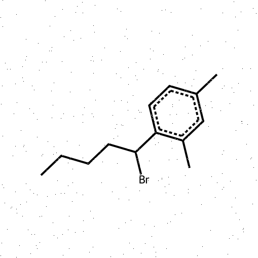 CCCCC(Br)c1ccc(C)cc1C